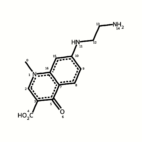 Cn1cc(C(=O)O)c(=O)c2ccc(NCCN)cc21